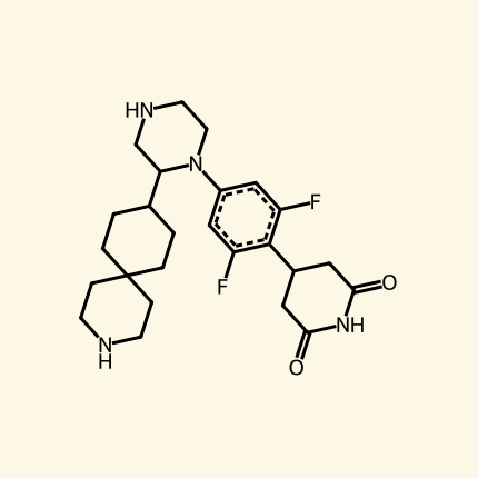 O=C1CC(c2c(F)cc(N3CCNCC3C3CCC4(CCNCC4)CC3)cc2F)CC(=O)N1